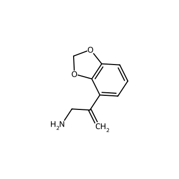 C=C(CN)c1cccc2c1OCO2